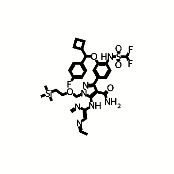 C=N/C(=C\N=C/C)Nc1c(C(N)=O)c(-c2ccc(NS(=O)(=O)C(F)F)c(OC(c3ccc(F)cc3)C3CCC3)c2)nn1COCC[Si](C)(C)C